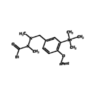 CCCCCOc1ccc(CN(C)N(C)C(=O)CC)c[c]1[Sn]([CH3])([CH3])[CH3]